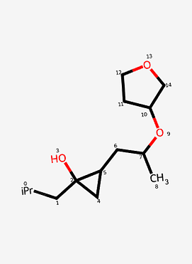 CC(C)CC1(O)CC1CC(C)OC1CCOC1